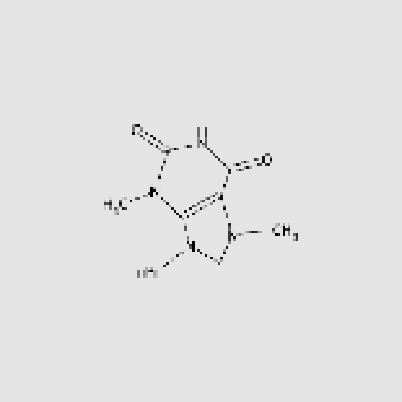 CCCN1CN(C)c2c1n(C)c(=O)[nH]c2=O